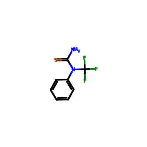 NC(=S)N(c1ccccc1)C(F)(F)F